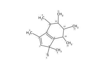 CC1=C[C](C)([Ti])C2=C1C(C)C(C)C(C)C2C